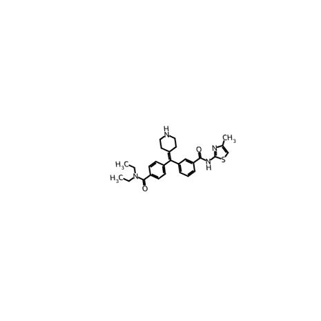 CCN(CC)C(=O)c1ccc(C(=C2CCNCC2)c2cccc(C(=O)Nc3nc(C)cs3)c2)cc1